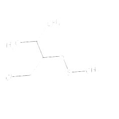 CSSC(CCl)C(C)C